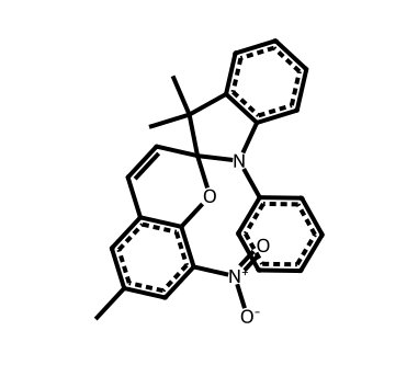 Cc1cc2c(c([N+](=O)[O-])c1)OC1(C=C2)N(c2ccccc2)c2ccccc2C1(C)C